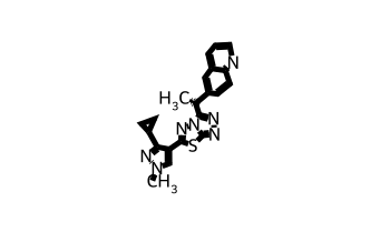 C[C@@H](c1ccc2ncccc2c1)c1nnc2sc(-c3cn(C)nc3C3CC3)nn12